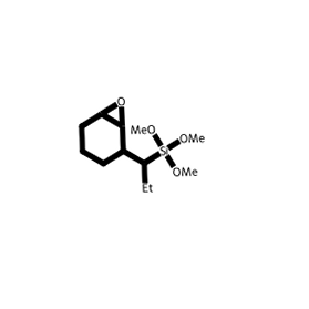 CCC(C1CCCC2OC21)[Si](OC)(OC)OC